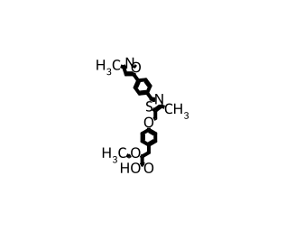 CCOC(Cc1ccc(OCc2sc(-c3ccc(-c4cc(C)no4)cc3)nc2C)cc1)C(=O)O